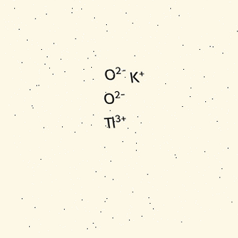 [K+].[O-2].[O-2].[Tl+3]